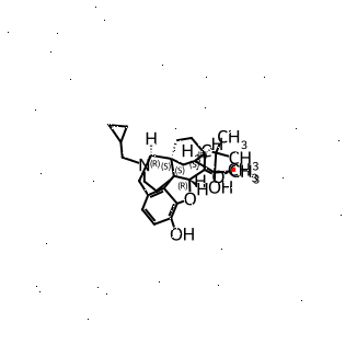 COC1[C@@H]2CC[C@@]3(C[C@@H]2C(C)(O)C(C)(C)C)[C@H]2Cc4ccc(O)c5c4[C@@]3(CCN2CC2CC2)[C@H]1O5